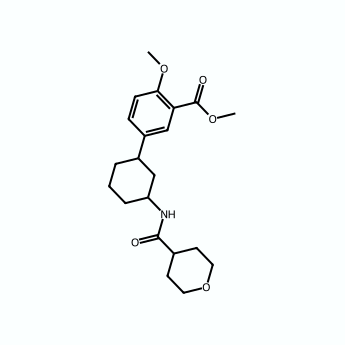 COC(=O)c1cc(C2CCCC(NC(=O)C3CCOCC3)C2)ccc1OC